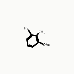 CC(=O)Oc1cccc(S)c1C